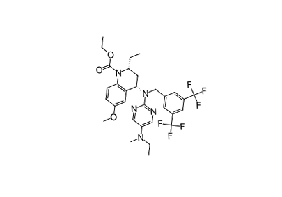 CCOC(=O)N1c2ccc(OC)cc2[C@@H](N(Cc2cc(C(F)(F)F)cc(C(F)(F)F)c2)c2ncc(N(C)CC)cn2)C[C@H]1CC